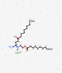 CCCCCCCCCCCCCCCCCC(=O)CCC(N)N(C)CCOC(=O)CCCCCCCCCCCCCCCCC.Cl